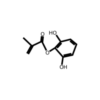 C=C(C)C(=O)Oc1c(O)cccc1O